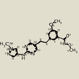 CONC(=O)c1cc(CCc2cnc(Nc3cnn(C)c3)nc2)cc(OC)c1